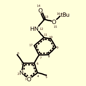 Cc1noc(C)c1-c1cccc(NC(=O)OC(C)(C)C)c1